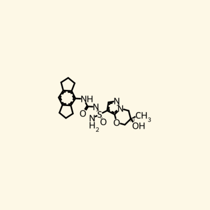 C[C@@]1(O)COc2c(S(N)(=O)=NC(=O)Nc3c4c(cc5c3CCC5)CCC4)cnn2C1